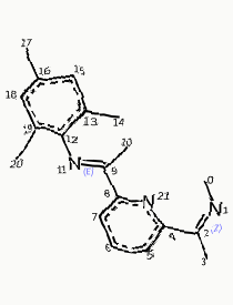 C/N=C(/C)c1cccc(/C(C)=N/c2c(C)cc(C)cc2C)n1